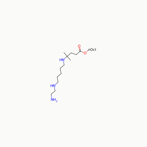 CCCCCCCCOC(=O)CCC(C)(C)NCCCCCNCCN